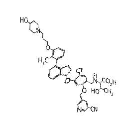 Cc1c(OCCCN2CCC(O)CC2)cccc1-c1cccc2c1CC[C@@H]2Oc1cc(OCc2cncc(C#N)c2)c(CN[C@H](C(=O)O)[C@@H](C)O)cc1Cl